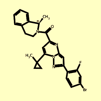 C[C@@H]1c2ccccc2CCN1C(=O)c1cc(C2(C)CC2)n2nc(-c3ccc(Br)cc3F)cc2n1